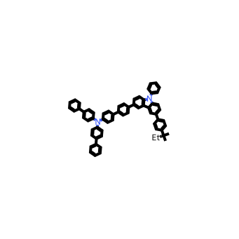 CCC(C)(C)c1ccc(-c2ccc3c(c2)c2cc(-c4ccc(-c5ccc(N(c6ccc(-c7ccccc7)cc6)c6ccc(-c7ccccc7)cc6)cc5)cc4)ccc2n3-c2ccccc2)cc1